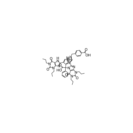 CCCn1c(=O)c2[nH]c(-c3c[nH]nc3C(C(=O)O)(c3ccccc3)n3c(-c4cnn(Cc5ccc(C(=O)O)cc5)c4)nc4c3c(=O)n(CCC)c(=O)n4CCC)nc2n(CCC)c1=O